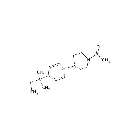 CCC(C)(C)c1ccc(N2CCN(C(C)=O)CC2)cc1